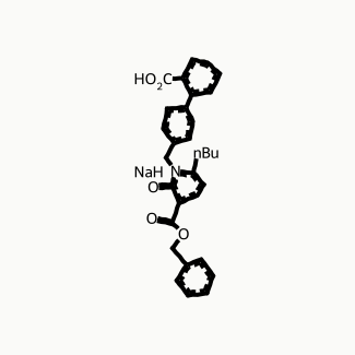 CCCCc1ccc(C(=O)OCc2ccccc2)c(=O)n1Cc1ccc(-c2ccccc2C(=O)O)cc1.[NaH]